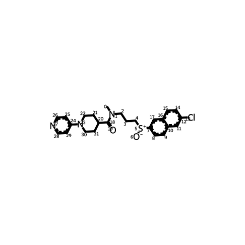 CN(CCC[S+]([O-])c1ccc2cc(Cl)ccc2c1)C(=O)C1CCN(c2ccncc2)CC1